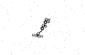 COc1cc(C(=O)Oc2ccc(CCCON(O)O)cc2)ccc1O